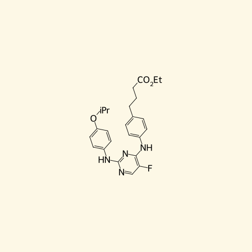 CCOC(=O)CCCc1ccc(Nc2nc(Nc3ccc(OC(C)C)cc3)ncc2F)cc1